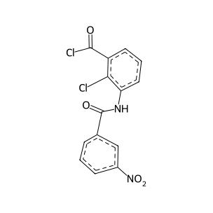 O=C(Nc1cccc(C(=O)Cl)c1Cl)c1cccc([N+](=O)[O-])c1